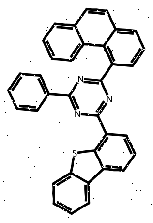 c1ccc(-c2nc(-c3cccc4c3sc3ccccc34)nc(-c3cccc4ccc5ccccc5c34)n2)cc1